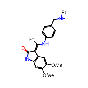 CCNCc1ccc(NC(CC)=C2C(=O)Nc3cc(OC)c(OC)cc32)cc1